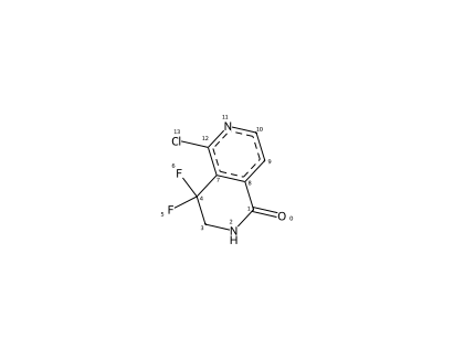 O=C1NCC(F)(F)c2c1ccnc2Cl